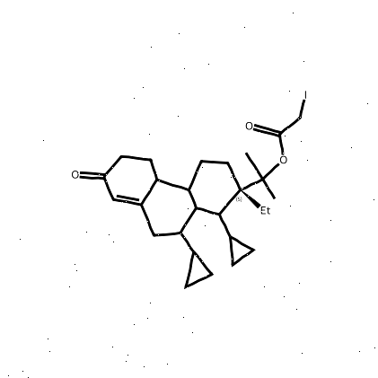 CC[C@]1(C(C)(C)OC(=O)CI)CCC2C3CCC(=O)C=C3CC(C3CC3)C2C1C1CC1